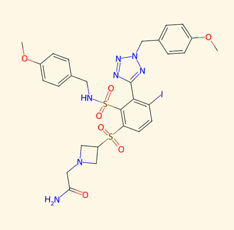 COc1ccc(CNS(=O)(=O)c2c(S(=O)(=O)C3CN(CC(N)=O)C3)ccc(I)c2-c2nnn(Cc3ccc(OC)cc3)n2)cc1